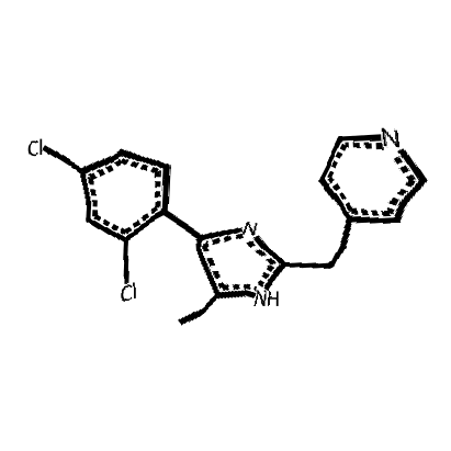 Cc1[nH]c(Cc2ccncc2)nc1-c1ccc(Cl)cc1Cl